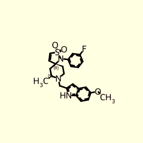 COc1ccc2[nH]c(CN3CC[C@]4(C=CS(=O)(=O)N4c4cccc(F)c4)C[C@@H]3C)cc2c1